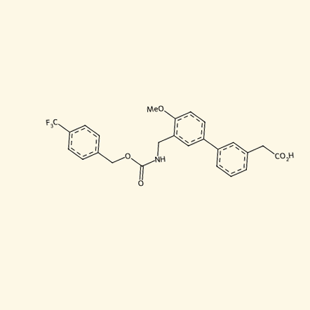 COc1ccc(-c2cccc(CC(=O)O)c2)cc1CNC(=O)OCc1ccc(C(F)(F)F)cc1